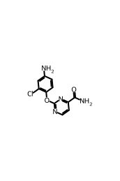 NC(=O)c1ccnc(Oc2ccc(N)cc2Cl)n1